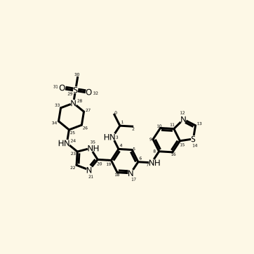 CC(C)Nc1cc(Nc2ccc3ncsc3c2)ncc1-c1ncc(NC2CCN(S(C)(=O)=O)CC2)[nH]1